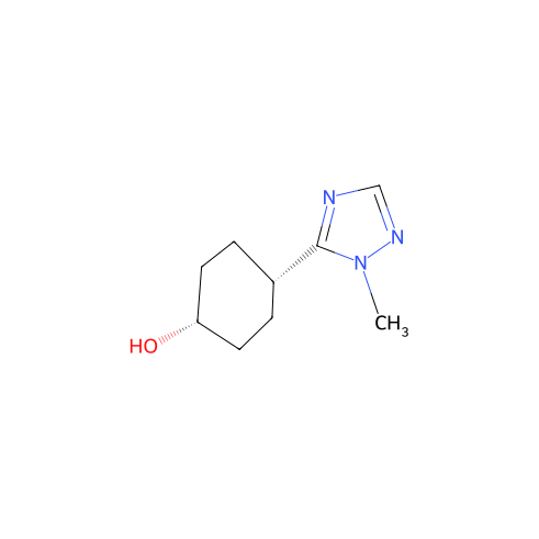 Cn1ncnc1[C@H]1CC[C@@H](O)CC1